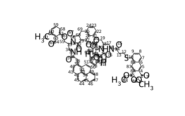 COC(=O)c1cc2cccc(SCCC(=O)NCC(COc3cccc4c3C(O)C3C(=O)N(C(CNC(=O)Cc5ccc6ccc7cccc8ccc5c6c78)COc5cccc(C)c5C=O)C(=O)C3C4)N3C(=O)[C@@H]4[C@H](C3=O)[C@H]3C=C[C@@H]4O3)c2cc1C(=O)OC